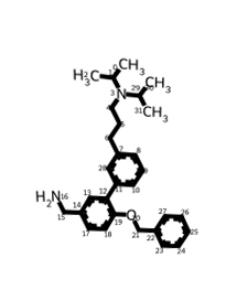 CC(C)N(CCCc1cccc(-c2cc(CN)ccc2OCc2ccccc2)c1)C(C)C